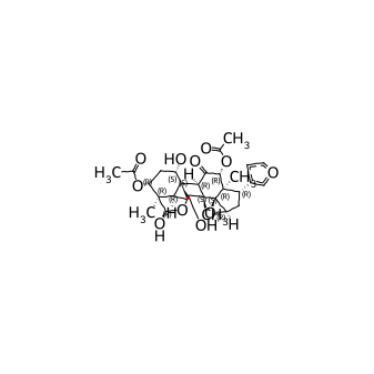 CC(=O)O[C@@H]1C[C@H](O)[C@@]23CO[C@@H](O)[C@]1(C)[C@@H]2CC(O)[C@]1(C)[C@@H]3C(=O)[C@H](OC(C)=O)[C@@]2(C)[C@H](c3ccoc3)C[C@H]3O[C@]321